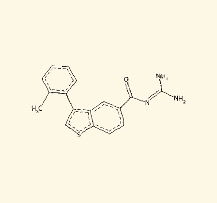 Cc1ccccc1-c1csc2ccc(C(=O)N=C(N)N)cc12